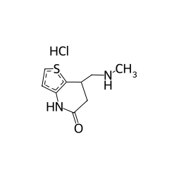 CNCC1CC(=O)Nc2ccsc21.Cl